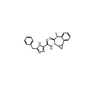 CN1C(=O)[C@@H](NC(=O)c2nnc(Cc3ccccc3)[nH]2)C2CC2c2ccccc21